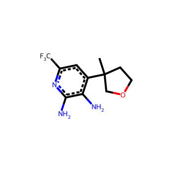 CC1(c2cc(C(F)(F)F)nc(N)c2N)CCOC1